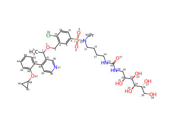 CC(OCc1cc(S(=O)(=O)N(CCCCNC(=O)NC[C@H](O)[C@@H](O)[C@H](O)[C@H](O)CO)C(C)C)ccc1Cl)c1cnccc1-c1ccccc1OC1CC1